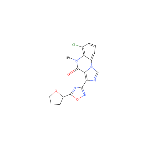 CC(C)n1c(=O)c2c(-c3noc(C4CCCO4)n3)ncn2c2cccc(Cl)c21